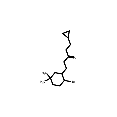 CCC(C)C1CCC(C)(C)CC1CCC(=O)CCC1CC1